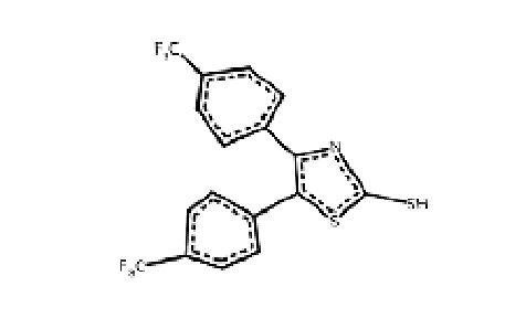 FC(F)(F)c1ccc(-c2nc(S)sc2-c2ccc(C(F)(F)F)cc2)cc1